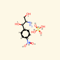 NC(CO)C(O)c1ccc([N+](=O)[O-])cc1.O=S(=O)(O)O